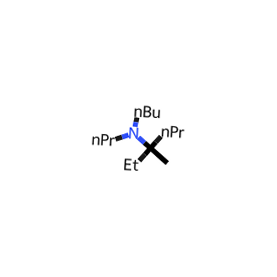 CCCCN(CCC)C(C)(CC)CCC